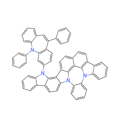 C1=C(c2ccccc2)c2ccc(-n3c4ccccc4c4ccc5c(c6ccc7ccc8c9ccccc9n9c%10ccccc%10n5c6c7c89)c43)cc2N(c2ccccc2)c2ccccc21